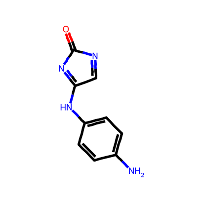 Nc1ccc(NC2=NC(=O)N=C2)cc1